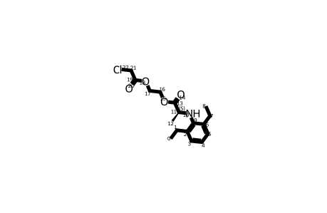 CCc1cccc(CC)c1N[C@@H](C)C(=O)OCCOC(=O)CCl